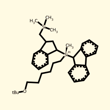 CC(C)(C)OCCCCCC[Si@](C)(C1CC(C[Si](C)(C)C)c2ccccc21)C1c2ccccc2-c2ccccc21